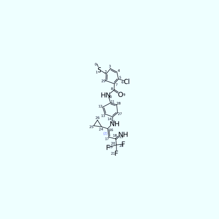 CSc1ccc(Cl)c(C(=O)Nc2ccc(N/C(=C\C(=N)C(F)(F)F)C3CC3)cc2)c1